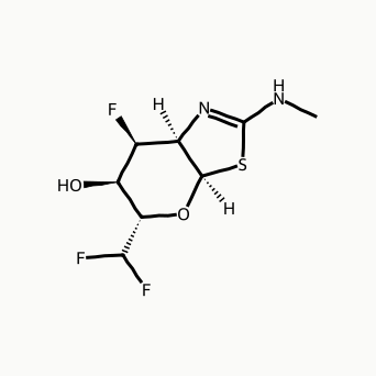 CNC1=N[C@@H]2[C@H](F)[C@H](O)[C@@H](C(F)F)O[C@@H]2S1